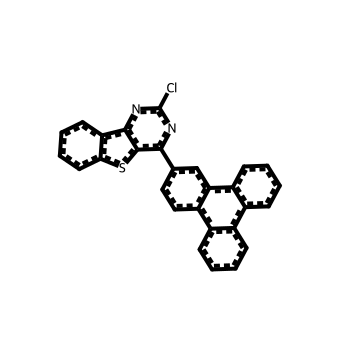 Clc1nc(-c2ccc3c4ccccc4c4ccccc4c3c2)c2sc3ccccc3c2n1